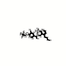 CC/C=C/c1ccnc(NC)c1CN(C)C(C)c1cnc(OCC(F)(F)F)c(C)c1